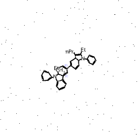 CC/C=C(\C=C1\c2ccccc2N(c2ccccc2)C1C)C1=CC2C(CCC)=C(CC)N(c3ccccc3)C2C=C1